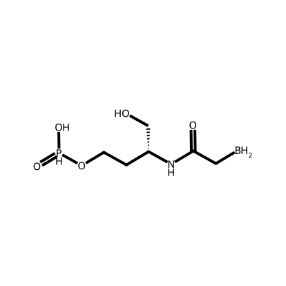 BCC(=O)N[C@@H](CO)CCO[PH](=O)O